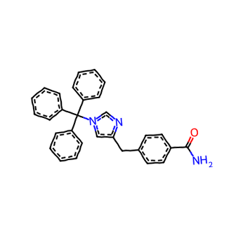 NC(=O)c1ccc(Cc2cn(C(c3ccccc3)(c3ccccc3)c3ccccc3)cn2)cc1